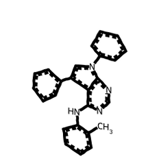 Cc1ccccc1Nc1ncnc2c1c(-c1ccccc1)cn2-c1ccccc1